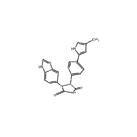 Cc1c[nH]c(-c2ccc(C3C(=O)NC(=O)N3c3ccc4[nH]cnc4c3)cc2)c1